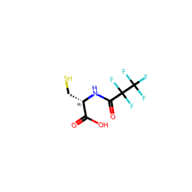 O=C(O)[C@H](CS)NC(=O)C(F)(F)C(F)(F)F